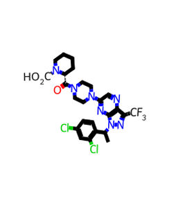 CC(c1ccc(Cl)cc1Cl)n1nc(C(F)(F)F)c2ncc(N3CCN(C(=O)[C@H]4CCCCN4C(=O)O)CC3)nc21